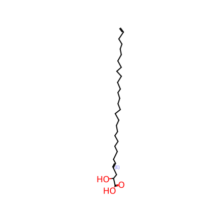 C=CCCCCCCCCCCCCCCCCCCCCCCC/C=C/CC(O)C(=O)O